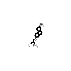 PCC(CP)COc1ccc2c(ccc3cc(P)ccc32)c1